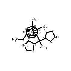 CC(C)(C)[C]12[CH]3[C]4(CP)[C]5(C(P)(C6CCNC6)C6CCNC6)[C]1(C(C)(C)C)[Fe]34251678[CH]2[CH]1[CH]6[CH]7[CH]28